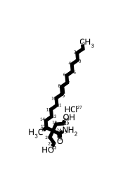 CCCCCCCCC=CCCCCCC(C)C(CCO)(CCO)C(N)=O.Cl